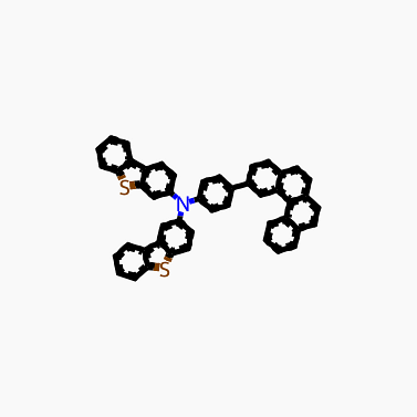 c1ccc2c(c1)ccc1ccc3ccc(-c4ccc(N(c5ccc6c(c5)sc5ccccc56)c5ccc6sc7ccccc7c6c5)cc4)cc3c12